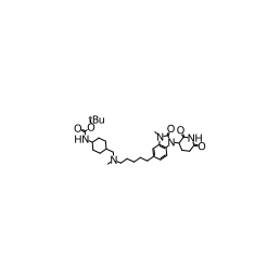 CN(CCCCCc1ccc2c(c1)n(C)c(=O)n2C1CCC(=O)NC1=O)CC1CCC(NC(=O)OC(C)(C)C)CC1